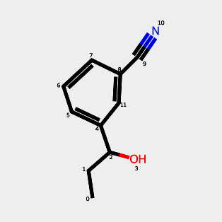 CCC(O)c1cccc(C#N)c1